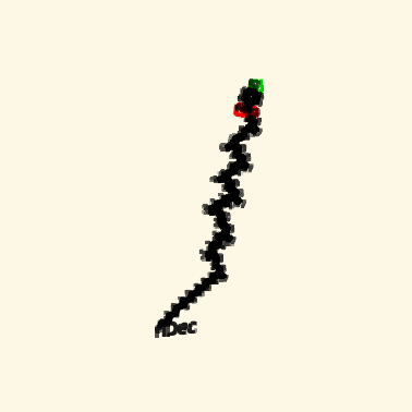 CCCCCCCCCCCCCCCCCCCCCCCCCC(C)=CCCC(C)=CCCC(C)=CCCC(C)=CCCC(C)=CCCC(C)=CCCC(C)=CCCC(C)=CCCC(C)=CCOC(=O)c1ccc(Cl)cc1